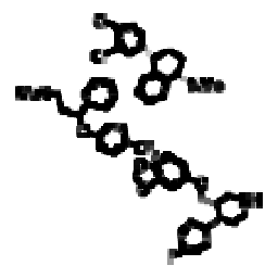 CNCCC(Oc1ccc(C(F)(F)F)cc1)c1ccccc1.CN[C@H]1CC[C@@H](c2ccc(Cl)c(Cl)c2)c2ccccc21.Fc1ccc([C@@H]2CCNC[C@H]2COc2ccc3c(c2)OCO3)cc1